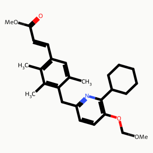 COCOc1ccc(Cc2c(C)cc(/C=C/C(=O)OC)c(C)c2C)nc1C1CCCCC1